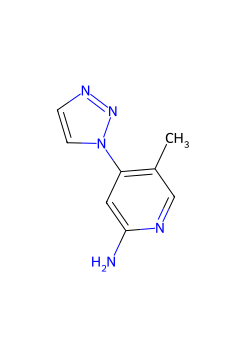 Cc1cnc(N)cc1-n1ccnn1